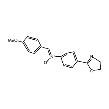 COc1ccc(C=[N+]([O-])c2ccc(C3=NCCO3)cc2)cc1